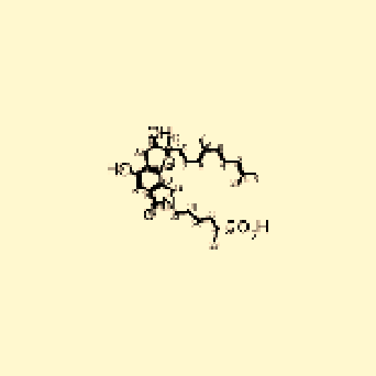 CC(C)=CCC/C(C)=C/CC[C@]1(C)Oc2c(c(O)cc3c2CN(CCCC[C@@H](C)C(=O)O)C3=O)C[C@@H]1O